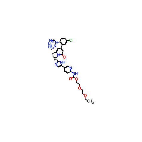 CCOCCOCCOC(=O)Nc1ccc(-c2cnc([C@@H]3CCc4cc(-c5cc(Cl)ccc5N(N)/C=N\N)cc(=O)n43)[nH]2)cn1